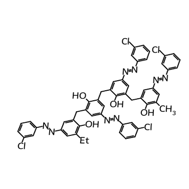 CCc1cc(N=Nc2cccc(Cl)c2)cc(Cc2cc(N=Nc3cccc(Cl)c3)cc(Cc3cc(N=Nc4cccc(Cl)c4)cc(Cc4cc(N=Nc5cccc(Cl)c5)cc(C)c4O)c3O)c2O)c1O